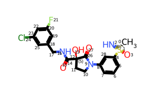 C[S@@](=N)(=O)c1cccc(N2CC[C@](O)(C(=O)NCc3cc(F)cc(Cl)c3)C2=O)c1